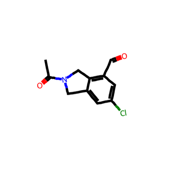 CC(=O)N1Cc2cc(Cl)cc(C=O)c2C1